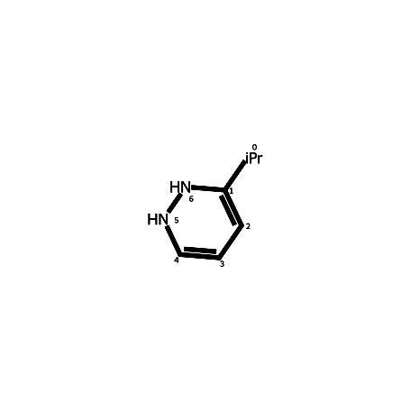 CC(C)C1=CC=CNN1